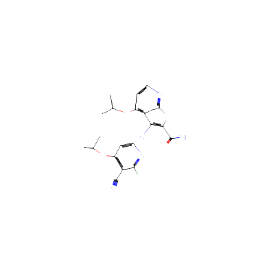 CC(C)Oc1ccnc(Cl)c1C#N.CC(C)Oc1ccnc2sc(C(N)=O)c(N)c12